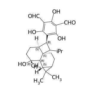 CC(C)C1[C@H](c2c(O)c(C=O)c(O)c(C=O)c2O)[C@@H]2CC[C@@](C)(O)[C@@H]3[C@@H]4C(CC[C@]132)C4(C)C